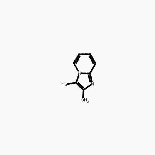 Bc1nc2ccccn2c1S